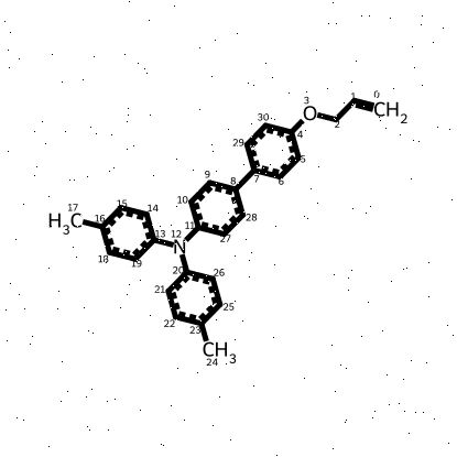 C=CCOc1ccc(-c2ccc(N(c3ccc(C)cc3)c3ccc(C)cc3)cc2)cc1